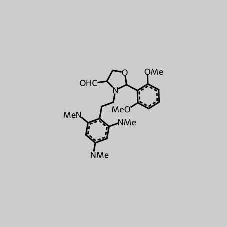 CNc1cc(NC)c(CCN2C(C=O)COC2c2c(OC)cccc2OC)c(NC)c1